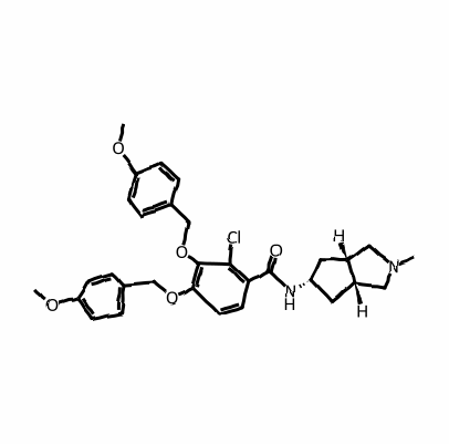 COc1ccc(COc2ccc(C(=O)N[C@@H]3C[C@@H]4CN(C)C[C@@H]4C3)c(Cl)c2OCc2ccc(OC)cc2)cc1